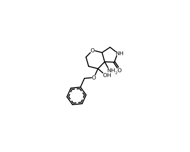 NC12C(=O)NCC1OCCC2(O)OCc1ccccc1